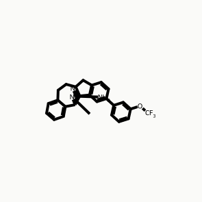 CN1C(N)=NC23CCc4ccccc4C1=C2c1cc(-c2cccc(OC(F)(F)F)c2)ccc1C3